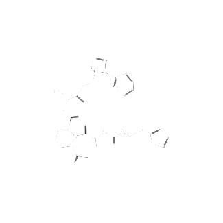 CC(C)[C@H](NC(=O)[C@@H]1CCCN2C(=O)CCC(NC(=O)NCCc3cccs3)C(=O)N12)C(=O)CSc1nnnn1-c1ccccc1